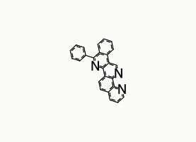 c1ccc(-c2nc3c(cnc4c3ccc3cccnc34)c3ccccc23)cc1